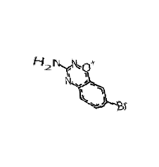 Nc1n[o+]c2cc(Br)ccc2n1